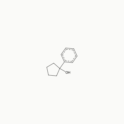 OC1(c2ccccc2)CCCC1